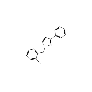 Nc1cccnc1Cn1ccc(-c2ccccc2)n1